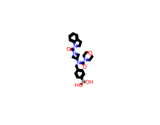 O=C(N1CC(N(Cc2ccc(B(O)O)cc2)C(=O)N2CCOCC2)C1)N1CCc2ccccc21